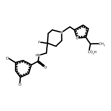 CC(C(=O)O)c1ccc(CN2CCC(F)(CNC(=O)c3cc(Cl)cc(Cl)c3)CC2)o1